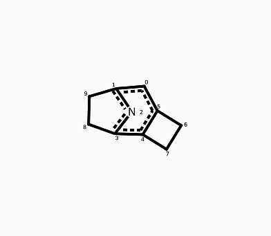 c1c2nc(c3c1CC3)CC2